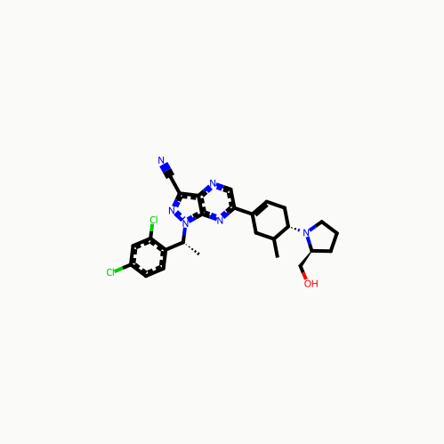 CC1CC(c2cnc3c(C#N)nn([C@H](C)c4ccc(Cl)cc4Cl)c3n2)=CC[C@@H]1N1CCC[C@H]1CO